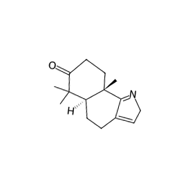 CC1(C)C(=O)CC[C@]2(C)C3=NCC=C3CC[C@@H]12